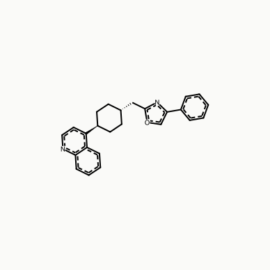 c1ccc(-c2coc(C[C@H]3CC[C@H](c4ccnc5ccccc54)CC3)n2)cc1